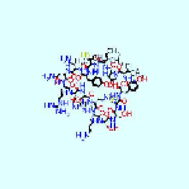 CC[C@H](C)[C@H](NC(=O)[C@@H]1C[C@@H](O)CN1C(=O)[C@@H](N)C(C)C)C(=O)N[C@H](C(=O)N[C@@H](Cc1ccc(O)cc1)C(=O)N[C@@H](CCN)C(=O)N[C@@H](CC(N)=O)C(=O)N[C@@H](CCCNC(=N)N)C(=O)N[C@@H](CCN)C(=O)N[C@H](C(=O)N[C@H](CCN)C(=O)N[C@@H](CCCCN)C(=O)N[C@@H](CO)C(=O)N[C@@H](CO)C(=O)N[C@@H](CS)C(=O)N[C@@H](Cc1ccc(O)cc1)C(=O)O)[C@@H](C)O)C(C)(C)S